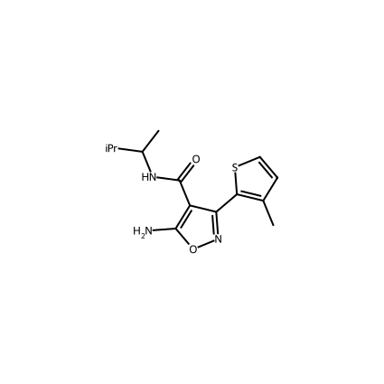 Cc1ccsc1-c1noc(N)c1C(=O)NC(C)C(C)C